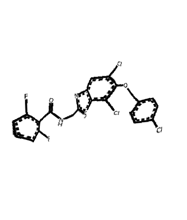 O=C(Nc1nc2cc(Cl)c(Oc3ccc(Cl)cc3)c(Cl)c2s1)c1c(F)cccc1F